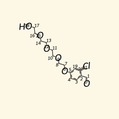 O=Cc1ccc(OCCOCCOCCOCCO)cc1Cl